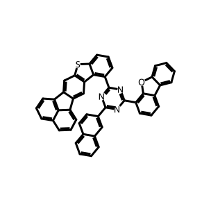 c1ccc2cc(-c3nc(-c4cccc5c4oc4ccccc45)nc(-c4cccc5sc6cc7c(cc6c45)-c4cccc5cccc-7c45)n3)ccc2c1